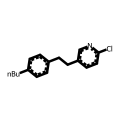 CCCCc1ccc(CCc2ccc(Cl)nc2)cc1